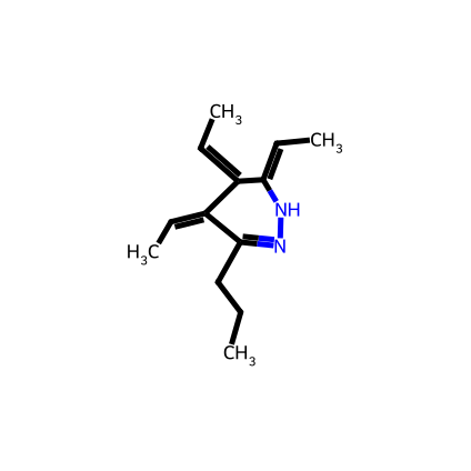 CC=C1NN=C(CCC)C(=CC)C1=CC